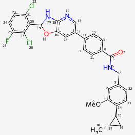 COc1cc(CNC(=O)c2ccc(-c3cnc4c(c3)OC(c3c(Cl)ccc(F)c3Cl)N4)cc2)ccc1C1C[C@@H]1C